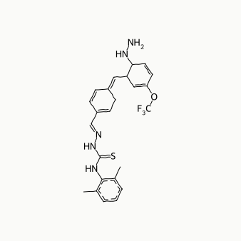 Cc1cccc(C)c1NC(=S)N/N=C/C1=CC/C(=C\C2C=C(OC(F)(F)F)C=CC2NN)C=C1